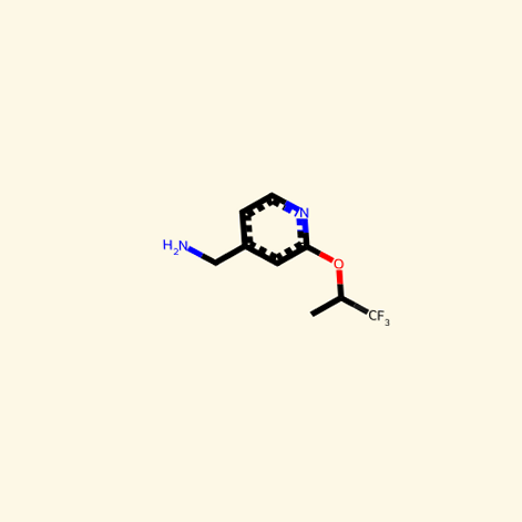 CC(Oc1cc(CN)ccn1)C(F)(F)F